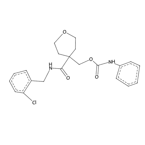 O=C(Nc1ccccc1)OCC1(C(=O)NCc2ccccc2Cl)CCOCC1